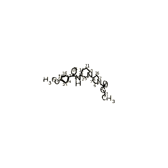 CCOC(=O)N1CCC(N2CCC[C@@H](NC(=O)c3ccc(OC)cc3)C2)CC1